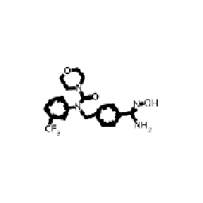 N/C(=N\O)c1ccc(CN(C(=O)N2CCOCC2)c2cccc(C(F)(F)F)c2)cc1